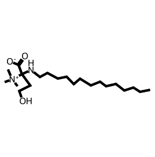 CCCCCCCCCCCCCCNC(CCO)(C(=O)[O-])[N+](C)(C)C